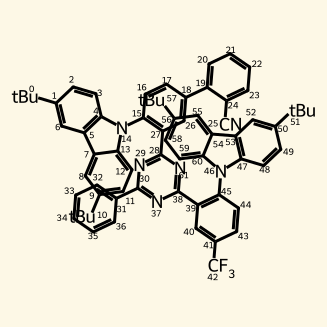 CC(C)(C)c1ccc2c(c1)c1cc(C(C)(C)C)ccc1n2-c1ccc(-c2ccccc2C#N)cc1-c1nc(-c2ccccc2)nc(-c2cc(C(F)(F)F)ccc2-n2c3ccc(C(C)(C)C)cc3c3cc(C(C)(C)C)ccc32)n1